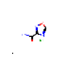 Cl.NC(=O)c1ncon1